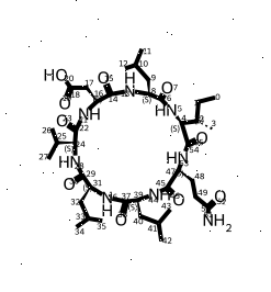 CC[C@H](C)[C@@H]1NC(=O)[C@H](CC(C)C)NC(=O)[C@H](CC(=O)O)NC(=O)[C@H](C(C)C)NC(=O)[C@H](CC(C)C)NC(=O)[C@H](CC(C)C)NC(=O)[C@H](CCC(N)=O)NC1=O